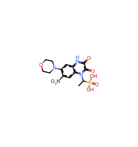 CC(n1c(=O)c(=O)[nH]c2cc(N3CCOCC3)c([N+](=O)[O-])cc21)P(=O)(O)O